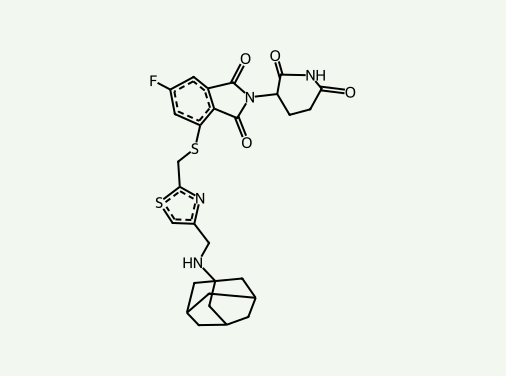 O=C1CCC(N2C(=O)c3cc(F)cc(SCc4nc(CNC56CC7CC(CC(C7)C5)C6)cs4)c3C2=O)C(=O)N1